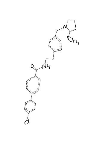 CC1CCCN1Cc1ccc(CCNC(=O)c2ccc(-c3ccc(Cl)cc3)cc2)cc1